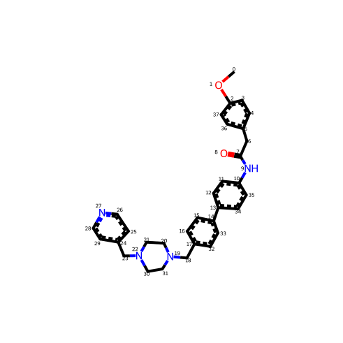 COc1ccc(CC(=O)Nc2ccc(-c3ccc(CN4CCN(Cc5ccncc5)CC4)cc3)cc2)cc1